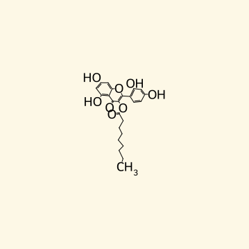 CCCCCCCCC(=O)Oc1c(-c2ccc(O)cc2O)oc2cc(O)cc(O)c2c1=O